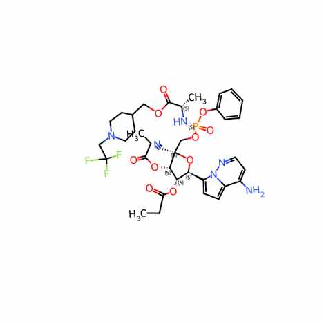 CCC(=O)O[C@H]1[C@H](c2ccc3c(N)ccnn23)O[C@](C#N)(CO[P@@](=O)(N[C@@H](C)C(=O)OCC2CCN(CC(F)(F)F)CC2)Oc2ccccc2)[C@H]1OC(=O)CC